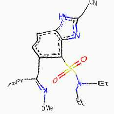 CCCC(=NOC)c1ccc2[nH]c(C#N)nc2c1S(=O)(=O)N(CC)CC